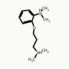 C[SiH](C)CCCOc1ccccc1[SiH](C)C